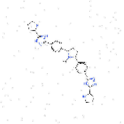 [2H]N1C(c2ccc(-c3nnc(C4CCCN4)[nH]3)cc2)CCC1c1ccc(-c2nnc(C3CCCN3)[nH]2)cc1